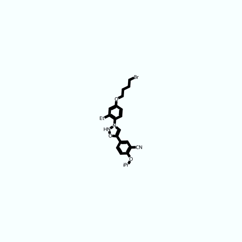 CCc1cc(OCCCCBr)ccc1N1C=C(c2ccc(OC(C)C)c(C#N)c2)ON1